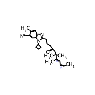 C/C=C\C=C(/C)C(C)(C)CC(=O)CCCc1nc2cc(C)c(C#N)cc2n1C1CCC1